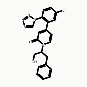 O=c1cc(-c2cc(Cl)ccc2-n2cnnn2)ccn1C(CO)Cc1ccccc1